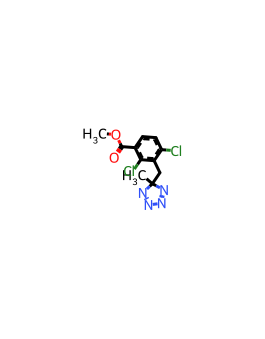 COC(=O)c1ccc(Cl)c(CC2(C)N=NN=N2)c1Cl